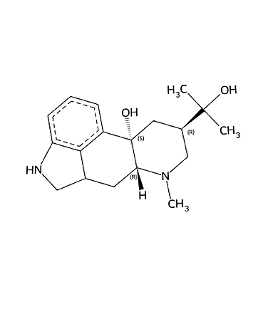 CN1C[C@H](C(C)(C)O)C[C@]2(O)c3cccc4c3C(CN4)C[C@@H]12